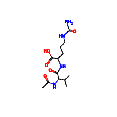 CC(=O)NC(C(=O)NC(CCCNC(N)=O)C(=O)O)C(C)C